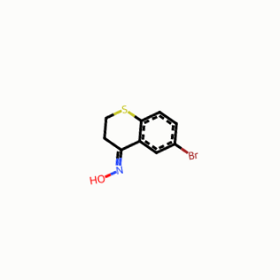 O/N=C1\CCSc2ccc(Br)cc21